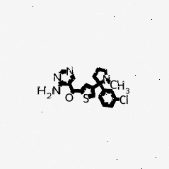 CN1CCCC1(c1cccc(Cl)c1)c1csc(C(=O)c2cncnc2N)c1